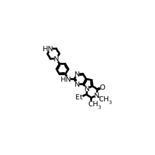 CCC1C(C)N(C)C(=O)c2cc3cnc(Nc4ccc(N5CCNCC5)cc4)nc3n21